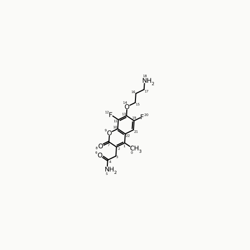 Cc1c(CC(N)=O)c(=O)oc2c(F)c(OCCCN)c(F)cc12